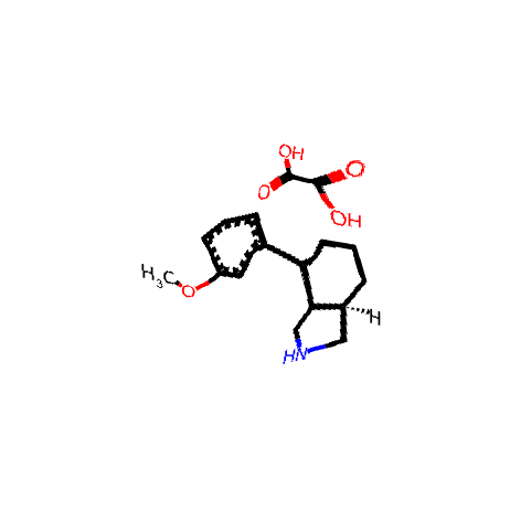 COc1cccc(C2CCC[C@H]3CNCC23)c1.O=C(O)C(=O)O